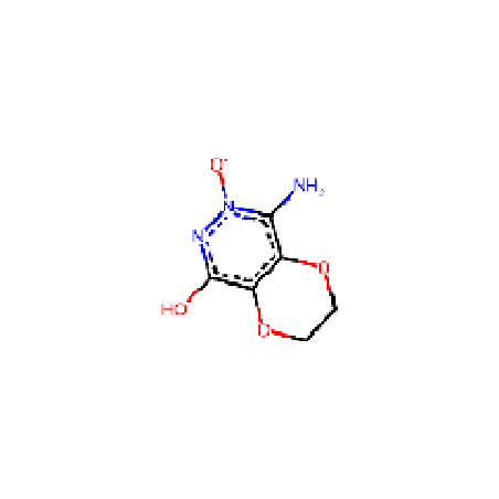 Nc1c2c(c(O)n[n+]1[O-])OCCO2